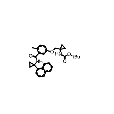 Cc1ccc(OCC2(NC(=O)OC(C)(C)C)CC2)cc1C(=O)NC1(c2cccc3ccccc23)CC1